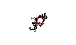 CCn1c(-c2cccnc2COC)c2c3cc(ccc31)-c1cc(O)cc(c1)C[C@H](NC(=O)C(C(C)C)N(C)C(=O)[C@H]1CCN(C(=O)C#C[C@@H](C)N(C)C)C1)C(=O)N1CCC[C@H](N1)C(=O)OCC(C)(C)C2